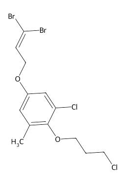 Cc1cc(OCC=C(Br)Br)cc(Cl)c1OCCCCl